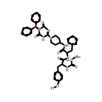 CCOc1ccc(CC(NC(=O)OC(C)(C)C)C(=O)NC(Cc2ccccc2)C(=O)NC2CCN(C(=NC(=O)OCc3ccccc3)NC(=O)OCc3ccccc3)CC2)cc1